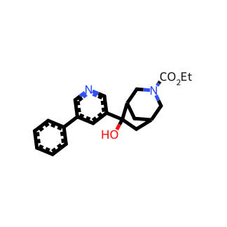 CCOC(=O)N1CC2CC(C1)C(O)(c1cncc(-c3ccccc3)c1)C2